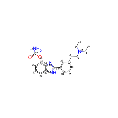 CCN(CC)CCc1cccc(-c2nc3c(OC(N)=O)cccc3[nH]2)c1